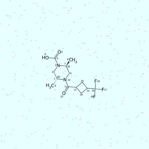 C[C@@H]1CN(C(=O)O)[C@@H](C)CN1C(=O)C1CC(C(F)(F)F)C1